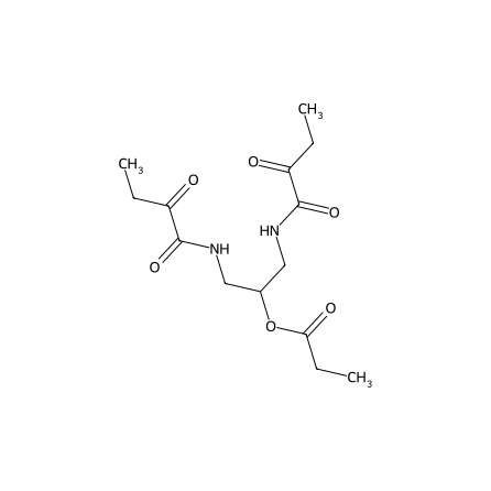 CCC(=O)OC(CNC(=O)C(=O)CC)CNC(=O)C(=O)CC